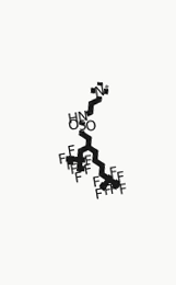 C[N+](C)(C)CCCNS(=O)(=O)CCC(CCCCC(F)(C(F)(F)F)C(F)(F)F)CC(F)(C(F)(F)F)C(F)(F)F